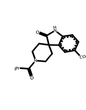 CC(C)C(=O)N1CCC2(CC1)C(=O)Nc1ccc(C(=O)O)cc12